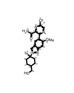 [2H]C1(n2cc3cc(-c4ncc(C(F)(F)F)nc4C(N)=O)c(OC)cc3n2)CCC(CO)CC1